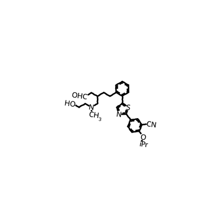 CC(C)Oc1ccc(-c2ncc(-c3ccccc3CCC(CC=O)CN(C)CCO)s2)cc1C#N